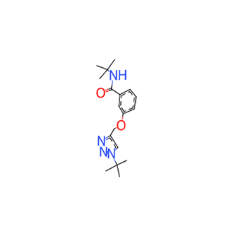 CC(C)(C)NC(=O)c1cccc(OCc2cn(C(C)(C)C)nn2)c1